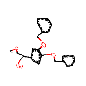 O[C@H](c1ccc(OCc2ccccc2)c(OCc2ccccc2)c1)[C@@H]1CO1